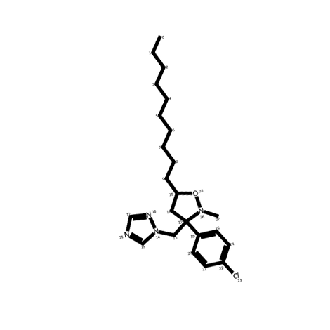 CCCCCCCCCCC1CC(Cn2cncn2)(c2ccc(Cl)cc2)N(C)O1